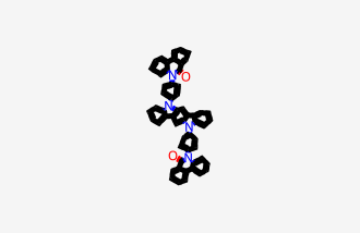 O=c1c2ccccc2c2ccccc2n1-c1ccc(-n2c3ccccc3c3cc4c(cc32)c2ccccc2n4-c2ccc(-n3c(=O)c4ccccc4c4ccccc43)cc2)cc1